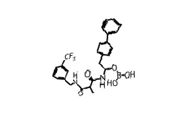 CC(C(=O)NCc1cccc(C(F)(F)F)c1)C(=O)N[C@@H](Cc1ccc(-c2ccccc2)cc1)OB(O)O